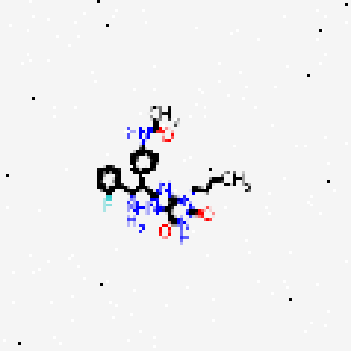 CCCCn1c(=O)[nH]c(=O)c2[nH]c(C(c3ccc(NC(C)=O)cc3)C(N)c3ccccc3F)nc21